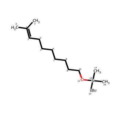 CC(C)=CCCCCCCCO[Si](C)(C)C(C)(C)C